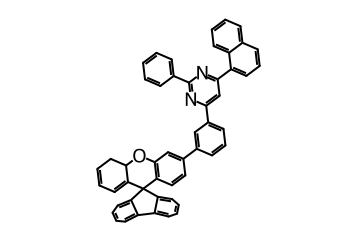 C1=CCC2Oc3cc(-c4cccc(-c5cc(-c6cccc7ccccc67)nc(-c6ccccc6)n5)c4)ccc3C3(C2=C1)c1ccccc1-c1ccccc13